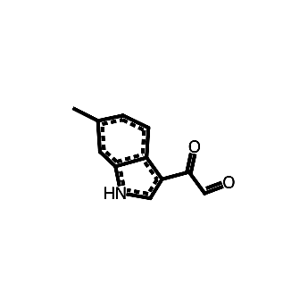 Cc1ccc2c(C(=O)C=O)c[nH]c2c1